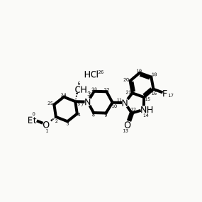 CCO[C@H]1CC[C@](C)(N2CCC(n3c(=O)[nH]c4c(F)cccc43)CC2)CC1.Cl